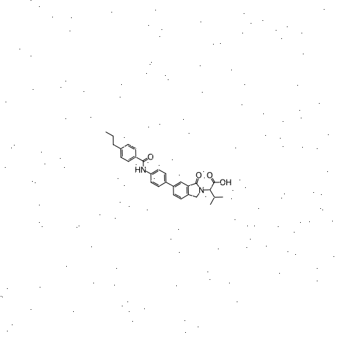 CCCc1ccc(C(=O)Nc2ccc(-c3ccc4c(c3)C(=O)N(C(C(=O)O)C(C)C)C4)cc2)cc1